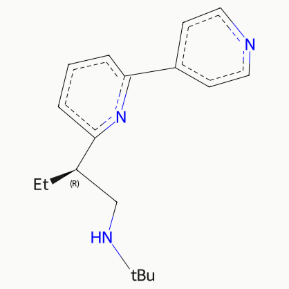 CC[C@H](CNC(C)(C)C)c1cccc(-c2ccncc2)n1